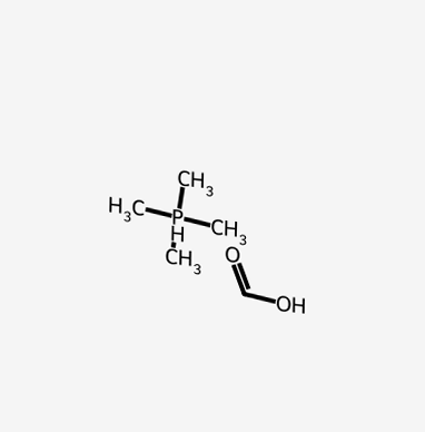 C[PH](C)(C)C.O=CO